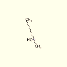 C=CCCCCCCCCC/C(O)=C/CCC